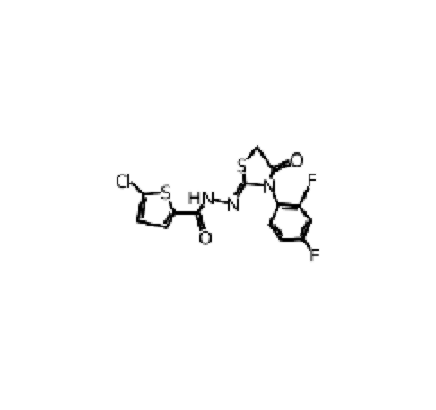 O=C(NN=C1SCC(=O)N1c1ccc(F)cc1F)c1ccc(Cl)s1